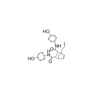 C=CCC12C=CC(C1)C(C(=O)Nc1ccc(O)cc1)C2C(=O)Nc1ccc(O)cc1